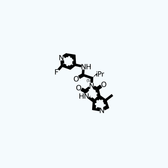 Cc1cncc2[nH]c(=O)n([C@H](C(=O)Nc3ccnc(F)c3)C(C)C)c(=O)c12